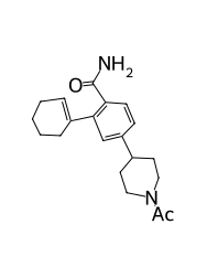 CC(=O)N1CCC(c2ccc(C(N)=O)c(C3=CCCCC3)c2)CC1